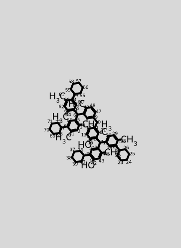 Cc1cc(C)c(C(c2cc(Cc3ccc(O)c(C(c4cc(C5CCCCC5)c(C)cc4C)c4cc(C5CCCCC5)c(O)cc4C)c3)ccc2C)c2cc(C3CCCCC3)c(C)cc2C)cc1C1CCCCC1